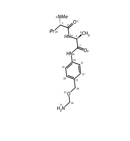 CN[C@H](C(=O)N[C@@H](C)C(=O)Nc1ccc(COCN)cc1)C(C)C